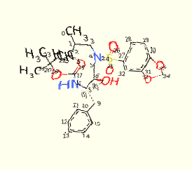 CC(C)CN(C[C@@H](O)[C@H](Cc1cc[c]cc1)NC(=O)OC(C)(C)C)S(=O)(=O)c1ccc2c(c1)OCO2